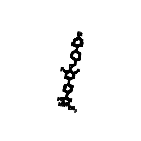 CCc1cnc(N2CCC(COc3c(F)cc(-c4ccc(C5=NN(C)NN5)cc4)cc3F)CC2)nc1